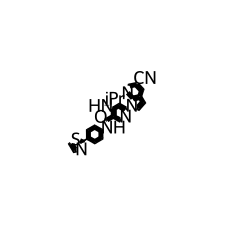 CC(C)Nc1cc(-n2ccc3cc(C#N)cnc32)ncc1C(=O)N[C@H]1CC[C@H](c2nccs2)CC1